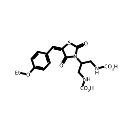 CCOc1ccc(C=C2SC(=O)N(C(CNC(=O)O)CNC(=O)O)C2=O)cc1